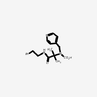 CC(C)CCNC(=O)C(C)(C)N(Cc1ccncc1)C(=O)O